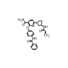 C=CC(=O)NC1CCN(c2ccc(C(N)=O)c(Oc3ccc(NC(=O)c4ccccc4)cc3)n2)C1